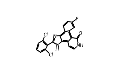 O=c1[nH]ccc2c3[nH]c(-c4c(Cl)cccc4Cl)nc3c3ccc(F)cc3c12